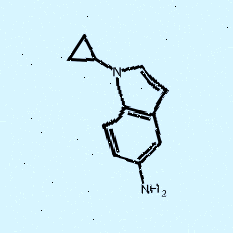 Nc1ccc2c(ccn2C2CC2)c1